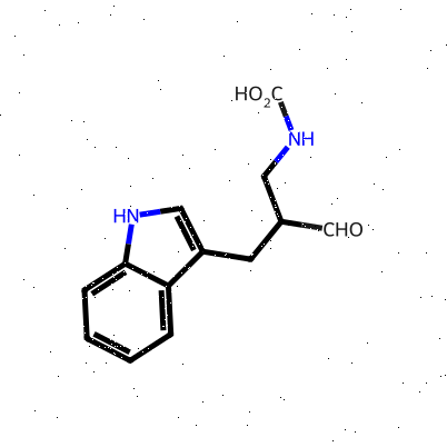 O=CC(CNC(=O)O)Cc1c[nH]c2ccccc12